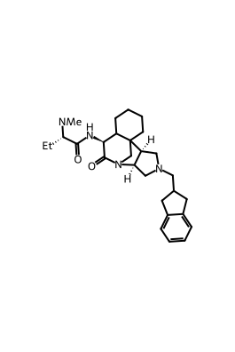 CC[C@H](NC)C(=O)N[C@@H]1C(=O)N2CC3(CCCCC13)[C@H]1CN(CC3Cc4ccccc4C3)C[C@H]12